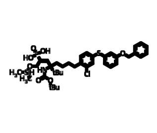 C[SiH](C)OCC(=CC(CCCCc1ccc(Sc2cccc(OCc3ccccc3)c2)cc1Cl)(NC(=O)OC(C)(C)C)C(C)(C)C)P(=O)(O)O